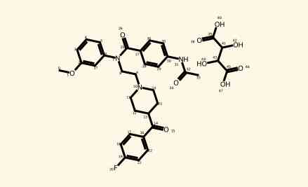 COc1cccc(N(CCN2CCC(C(=O)c3ccc(F)cc3)CC2)C(=O)c2ccc(NC(C)=O)cc2)c1.O=C(O)C(O)C(O)C(=O)O